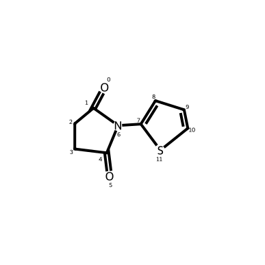 O=C1CCC(=O)N1c1cccs1